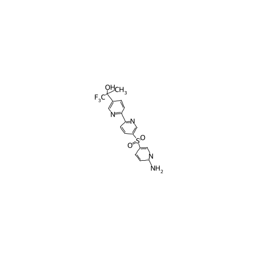 CC(O)(c1ccc(-c2ccc(S(=O)(=O)c3ccc(N)nc3)cn2)nc1)C(F)(F)F